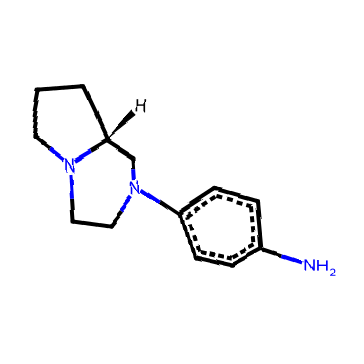 Nc1ccc(N2CCN3CCC[C@@H]3C2)cc1